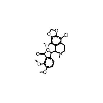 COc1ccc2c(c1OC)C(=O)OC2C1c2c(c(Cl)c3c(c2OC)OCO3)CCN1C